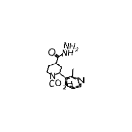 Cc1ncccc1C1CC(C(=O)NN)CCN1C(=O)O